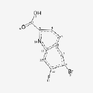 O=C(O)c1ccc2cc(Br)c(F)cc2n1